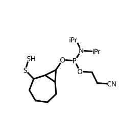 CC(C)N(C(C)C)P(OCCC#N)OC1C2CCCCC(SS)C21